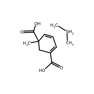 CC1(C(=O)O)C=CC=C(C(=O)O)C1.C[SiH2]C